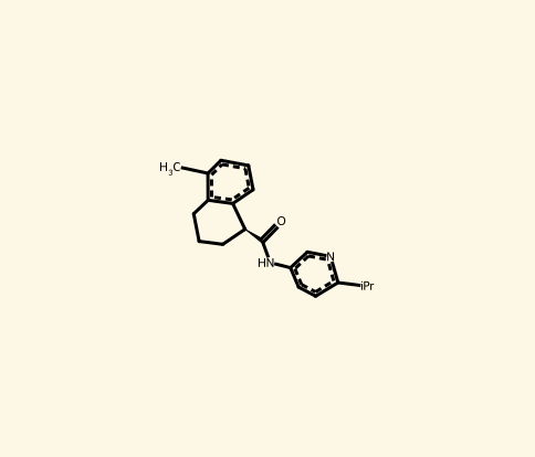 Cc1cccc2c1CCC[C@@H]2C(=O)Nc1ccc(C(C)C)nc1